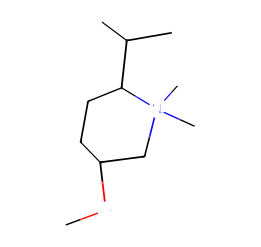 COC1CCC(C(C)C)[N+](C)(C)C1